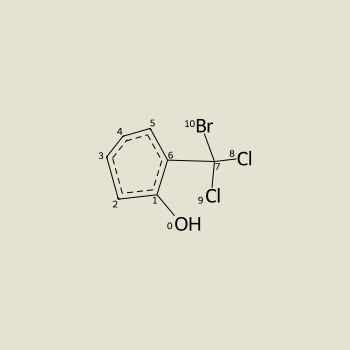 Oc1ccccc1C(Cl)(Cl)Br